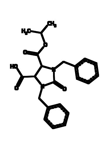 CC(C)OC(=O)C1C(C(=O)O)N(Cc2ccccc2)C(=O)N1Cc1ccccc1